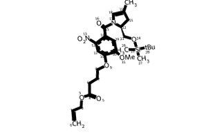 C=CCOC(=O)CCCOc1cc([N+](=O)[O-])c(C(=O)N2C=C(C)C[C@H]2CO[Si](C)(C)C(C)(C)C)cc1OC